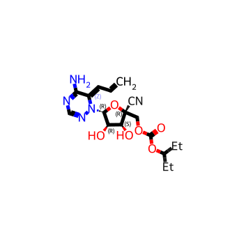 C=C/C=C1/C(N)=NC=NN1[C@@H]1O[C@](C#N)(COC(=O)OC(CC)CC)[C@@H](O)[C@H]1O